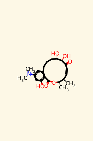 C[C@@H]1/C=C\C(=O)[C@@H](O)[C@@H](O)CCCc2cc(N(C)C)cc(O)c2C(=O)O[C@H]1C